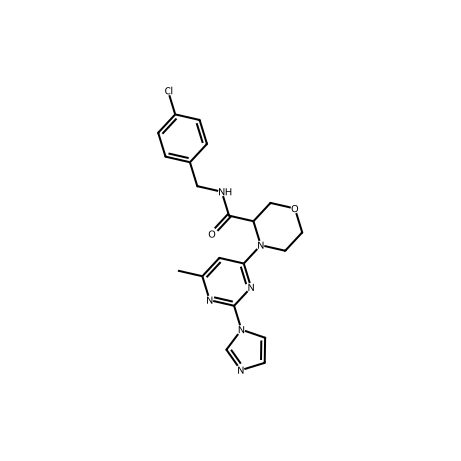 Cc1cc(N2CCOCC2C(=O)NCc2ccc(Cl)cc2)nc(-n2ccnc2)n1